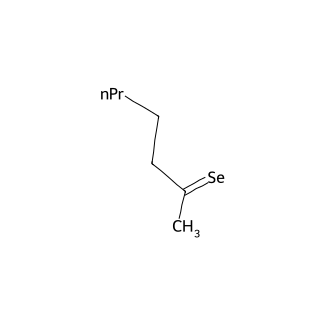 CCCCCC(C)=[Se]